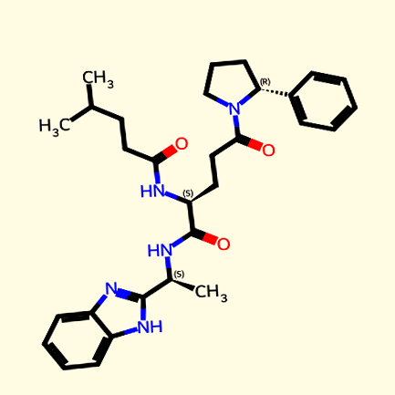 CC(C)CCC(=O)N[C@@H](CCC(=O)N1CCC[C@@H]1c1ccccc1)C(=O)N[C@@H](C)c1nc2ccccc2[nH]1